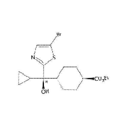 CCOC(=O)[C@H]1CC[C@H]([C@@](O)(c2ncc(Br)s2)C2CC2)CC1